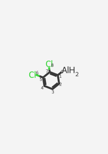 [AlH2][c]1cccc(Cl)c1Cl